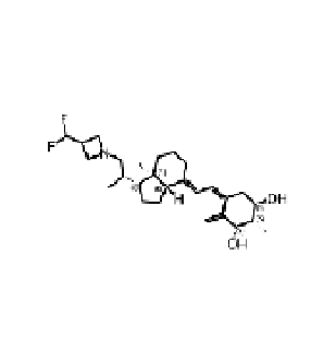 C=C1C(=CC=C2CCC[C@]3(C)[C@@H](C(C)CN4CC(C(F)F)C4)CC[C@@H]23)C[C@@H](O)[C@H](C)[C@@H]1O